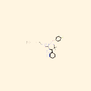 CC1(C)CN(C(=O)c2ccc(F)c(F)c2)CC(C(=O)NCCC(=O)O)c2[nH]c3ccccc3c21